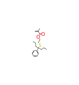 C=C(C)C(=O)OCCSC(CCC)(CCC)c1ccccc1